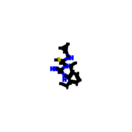 CCc1cccc(CC)c1NC(=N)NC(=S)NC1CC1